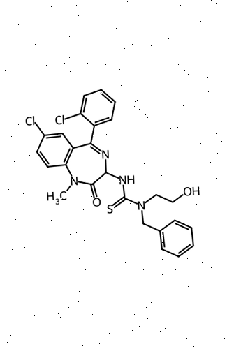 CN1C(=O)C(NC(=S)N(CCO)Cc2ccccc2)N=C(c2ccccc2Cl)c2cc(Cl)ccc21